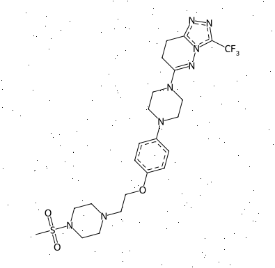 CS(=O)(=O)N1CCN(CCOc2ccc(N3CCN(C4=Nn5c(nnc5C(F)(F)F)CC4)CC3)cc2)CC1